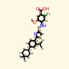 COc1cc(C(=O)O)c(F)cc1NSc1csc(-c2ccc(C3CCC(C)(C)CC3)cc2C(C)C)n1